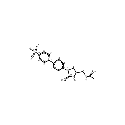 CC(=O)NCC1CN(c2ccc(-c3ccc(S(C)(=O)=O)cc3)cc2)C(=O)O1